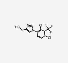 OCc1cn(-c2ccc(Cl)c(C(F)(F)F)c2Cl)nn1